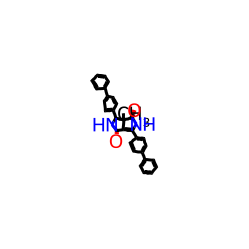 CC12C(=O)NC(c3ccc(-c4ccccc4)cc3)=C1C(=O)NC2c1ccc(-c2ccccc2)cc1